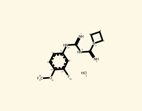 Cl.N=C(NC(=N)N1CCC1)Nc1ccc(OC(F)(F)F)c(F)c1